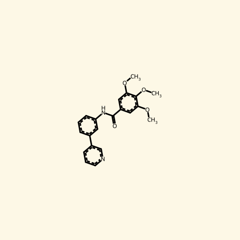 COc1cc(C(=O)Nc2cccc(-c3cccnc3)c2)cc(OC)c1OC